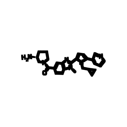 Cn1c(-c2ccc(-c3cccnc3)n2CC2CC2)nc2cc(C(=O)N3CCC[C@@H](N)C3)ccc21